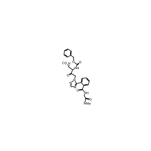 CNC(=O)CNC(=O)c1ccccc1-c1nnnn1CC(=O)C(CC(=O)O)NC(=O)OCc1ccccc1